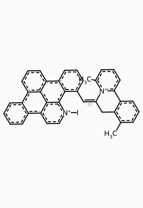 Cc1cccc2c1C/C(=C/c1cccc3c4cccc5c6ccccc6c6cc[n+](I)c(c13)c6c54)[n+]1c(C)cccc1-2